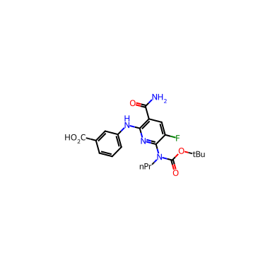 CCCN(C(=O)OC(C)(C)C)c1nc(Nc2cccc(C(=O)O)c2)c(C(N)=O)cc1F